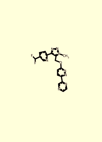 Cn1nnc(-c2ccc(C(F)F)cn2)c1COc1ccc(-c2cnccn2)nn1